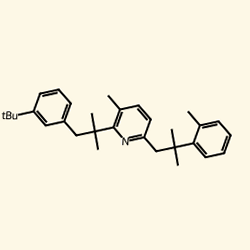 Cc1ccccc1C(C)(C)Cc1ccc(C)c(C(C)(C)Cc2cccc(C(C)(C)C)c2)n1